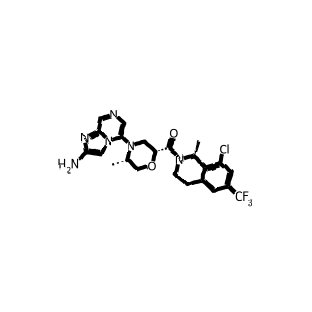 C[C@H]1c2c(Cl)cc(C(F)(F)F)cc2CCN1C(=O)[C@H]1CN(c2cncc3nc(N)cn23)[C@@H](C)CO1